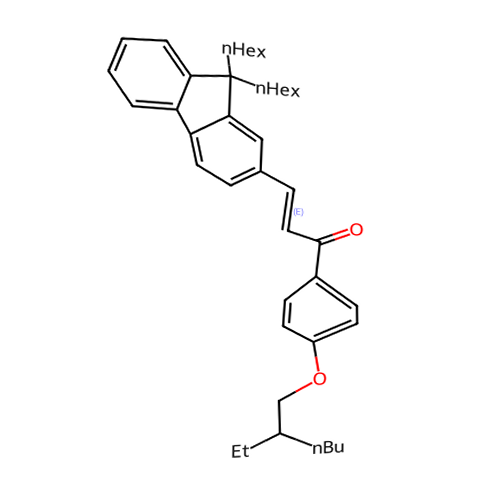 CCCCCCC1(CCCCCC)c2ccccc2-c2ccc(/C=C/C(=O)c3ccc(OCC(CC)CCCC)cc3)cc21